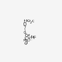 C[C@@H]1Cc2c([nH]c3ccccc23)[C@@H](c2c(F)cc(OCCCOCC(=O)O)cc2F)N1CC(C)(C)F